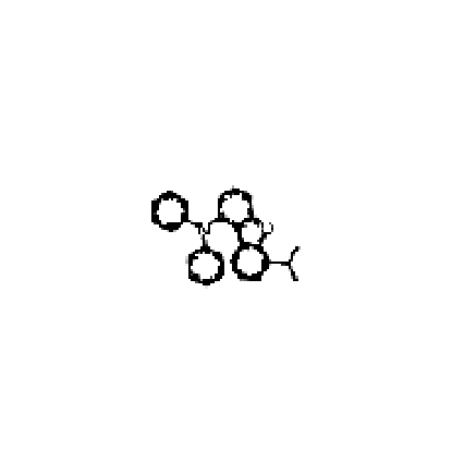 CC(C)c1cccc2c1oc1cccc(N(c3ccccc3)c3ccccc3)c12